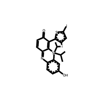 CC(C)[Si]1(C(C)C)C2=C(c3sc(I)cc3I)C(=O)C=CC2=Nc2ccc(O)cc21